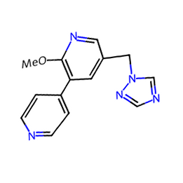 COc1ncc(Cn2cncn2)cc1-c1ccncc1